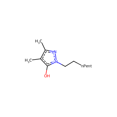 CCCCCCCn1nc(C)c(C)c1O